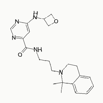 CC1(C)c2ccccc2CCN1CCCNC(=O)c1cc(NC2COC2)ncn1